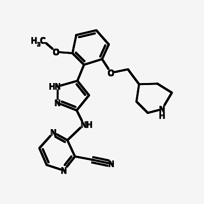 COc1cccc(OCC2CCNCC2)c1-c1cc(Nc2nccnc2C#N)n[nH]1